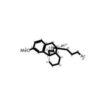 COc1ccc2c(c1)[C@]13CCCC[C@@H]1[C@H](C2)N(CCCC(C)=O)CC3